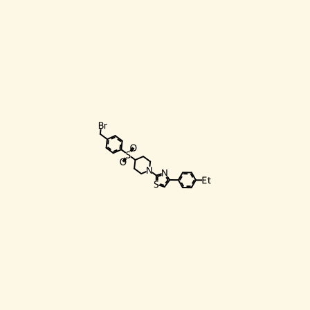 CCc1ccc(-c2csc(N3CCC(S(=O)(=O)c4ccc(CBr)cc4)CC3)n2)cc1